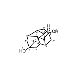 OC12CC3C4CC5(O)CC3C(C1)C(O)(C5)C4C2